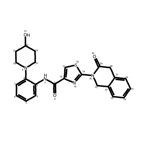 O=C(Nc1ccccc1N1CCC(O)CC1)c1csc(N2Cc3ccccc3CC2=O)n1